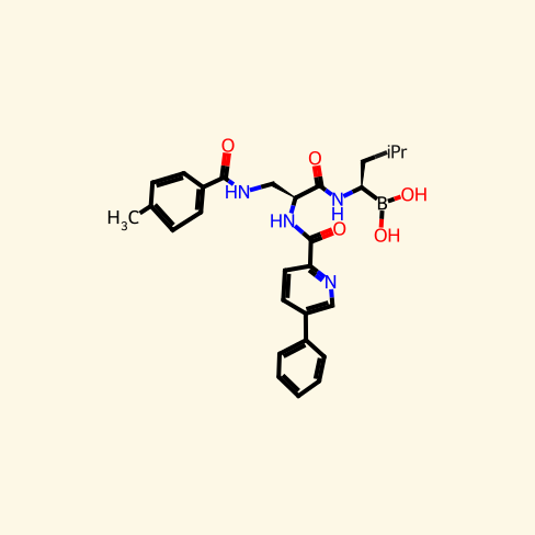 Cc1ccc(C(=O)NC[C@H](NC(=O)c2ccc(-c3ccccc3)cn2)C(=O)N[C@@H](CC(C)C)B(O)O)cc1